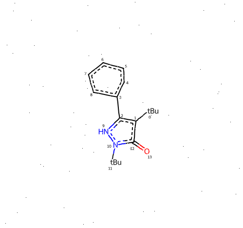 CC(C)(C)c1c(-c2ccccc2)[nH]n(C(C)(C)C)c1=O